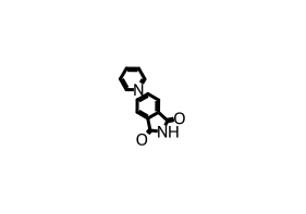 O=C1NC(=O)c2ccccc21.c1ccncc1